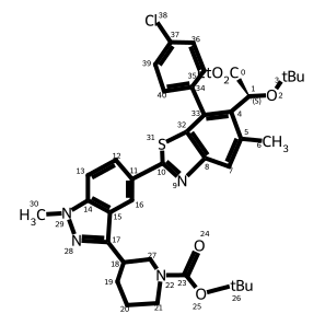 CCOC(=O)[C@@H](OC(C)(C)C)c1c(C)cc2nc(-c3ccc4c(c3)c(C3CCCN(C(=O)OC(C)(C)C)C3)nn4C)sc2c1-c1ccc(Cl)cc1